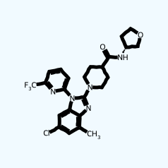 Cc1cc(Cl)cc2c1nc(N1CCC(C(=O)N[C@@H]3CCOC3)CC1)n2-c1cccc(C(F)(F)F)n1